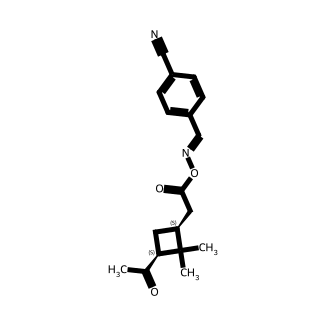 CC(=O)[C@H]1C[C@@H](CC(=O)ON=Cc2ccc(C#N)cc2)C1(C)C